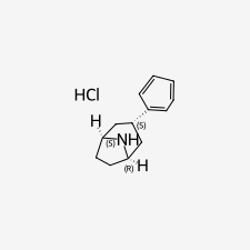 Cl.c1ccc([C@@H]2C[C@H]3CC[C@@H](C2)N3)cc1